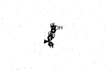 CC1CN(C(c2ccncc2)C2CC2)CCN1S(=O)(=O)c1ccc(C(C)(O)C(F)(F)F)cc1